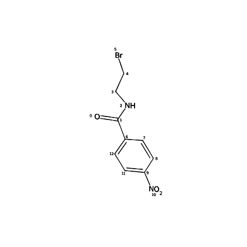 O=C(NCCBr)c1ccc([N+](=O)[O-])cc1